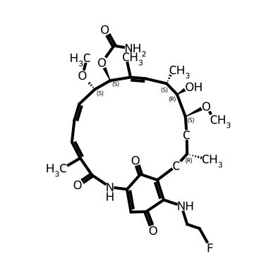 CO[C@H]1C=CC=C(C)C(=O)NC2=CC(=O)C(NCCF)=C(C[C@@H](C)C[C@H](OC)[C@H](O)[C@@H](C)C=C(C)[C@@H]1OC(N)=O)C2=O